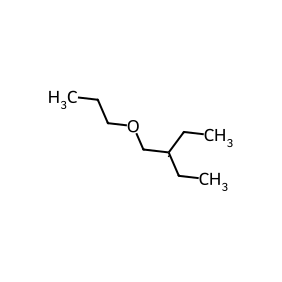 CCCOC[C](CC)CC